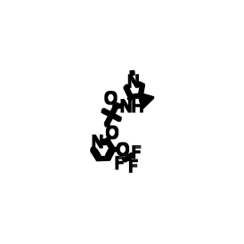 CN1CC(NC(=O)C(C)(C)COc2ncccc2OC(F)(F)F)C2(CC2)C1